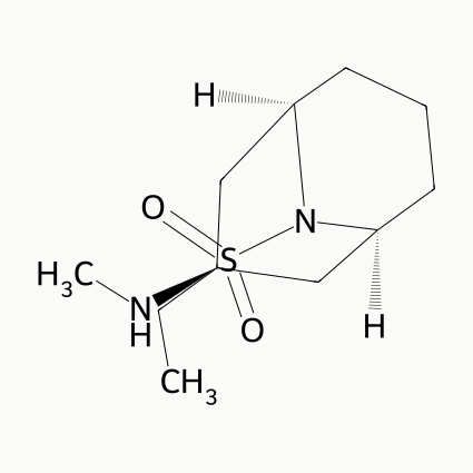 CCS(=O)(=O)N1[C@@H]2CCC[C@H]1C[C@@H](NC)C2